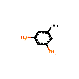 CC(C)(C)c1cc(P)cc(P)c1